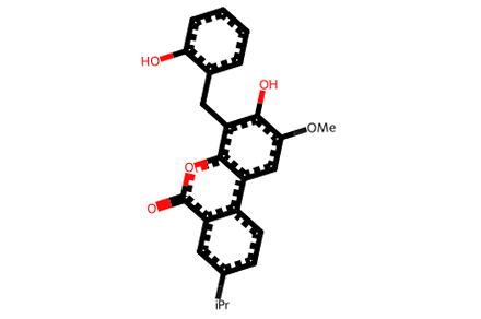 COc1cc2c(oc(=O)c3cc(C(C)C)ccc32)c(Cc2ccccc2O)c1O